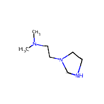 CN(C)CCN1[C]NCC1